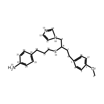 COc1ccc(CCC(Cn2ccnc2)SCCCc2ccc(N)cc2)cc1